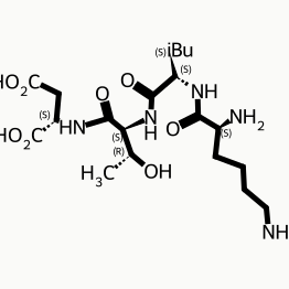 CC[C@H](C)[C@H](NC(=O)[C@@H](N)CCCCN)C(=O)N[C@H](C(=O)N[C@@H](CC(=O)O)C(=O)O)[C@@H](C)O